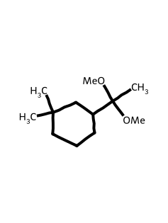 COC(C)(OC)C1CCCC(C)(C)C1